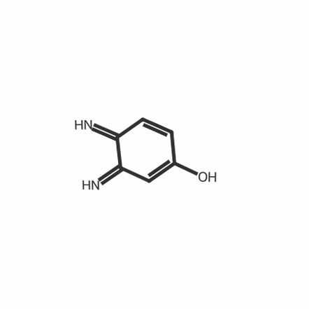 N=C1C=CC(O)=CC1=N